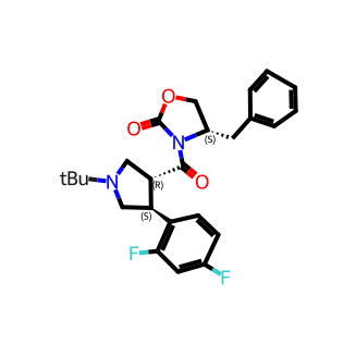 CC(C)(C)N1C[C@H](C(=O)N2C(=O)OC[C@@H]2Cc2ccccc2)[C@@H](c2ccc(F)cc2F)C1